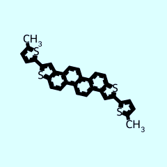 Cc1ccc(-c2cc3c(ccc4c3ccc3c5ccc6sc(-c7ccc(C)s7)cc6c5ccc43)s2)s1